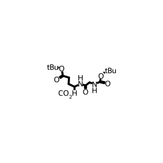 CC(C)(C)OC(=O)CCC(NC(=O)CNC(=O)OC(C)(C)C)C(=O)O